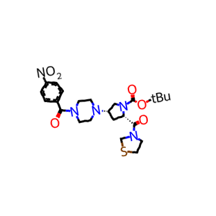 CC(C)(C)OC(=O)N1C[C@@H](N2CCN(C(=O)c3ccc([N+](=O)[O-])cc3)CC2)C[C@H]1C(=O)N1CCSC1